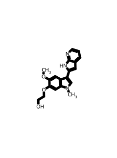 COc1cc2c(-c3cc4cccnc4[nH]3)cn(C)c2cc1OCCO